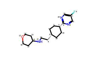 Fc1cnc([C@H]2CC[C@@H](CCNC3CCOCC3)CC2)nc1